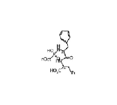 CCCCCCCCP(=O)(O)N[C@@H](Cc1ccccc1)C(=O)N[C@@H](CC(C)C)C(=O)O